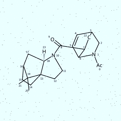 CC(=O)N1CC2C=CC1C(C(=O)N1CCC34CCC(C[C@@H]13)C4(C)C)C2